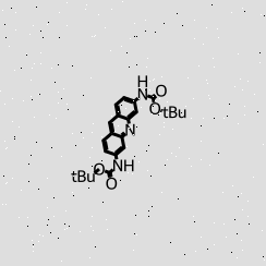 CC(C)(C)OC(=O)Nc1ccc2cc3ccc(NC(=O)OC(C)(C)C)cc3nc2c1